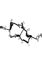 Oc1ccc2nc(Br)cnc2c1